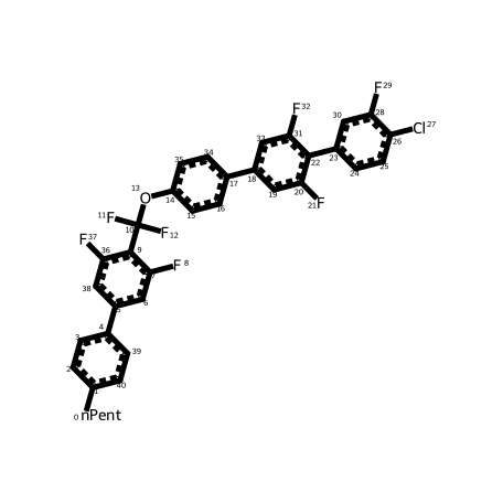 CCCCCc1ccc(-c2cc(F)c(C(F)(F)Oc3ccc(-c4cc(F)c(-c5ccc(Cl)c(F)c5)c(F)c4)cc3)c(F)c2)cc1